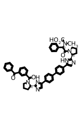 CN(C(=O)O)[C@@H](C(=O)N1CCC[C@H]1c1ncc(-c2ccc(-c3ccc(-c4cnc([C@@H]5CCCN5C(=O)c5cccc(C(=O)c6ccccc6)c5)[nH]4)cc3)cc2)[nH]1)c1ccccc1